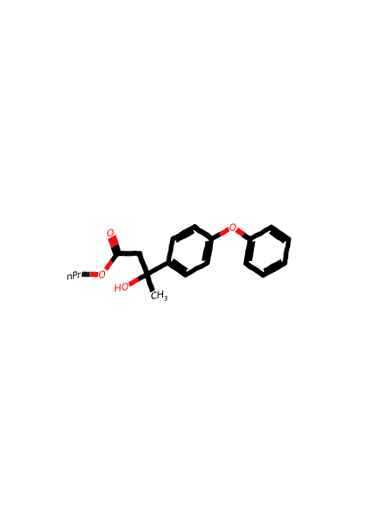 CCCOC(=O)CC(C)(O)c1ccc(Oc2ccccc2)cc1